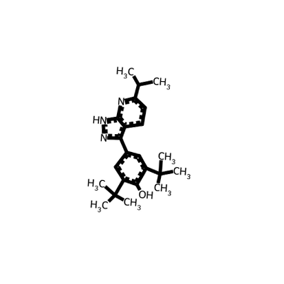 CC(C)c1ccc2c(-c3cc(C(C)(C)C)c(O)c(C(C)(C)C)c3)n[nH]c2n1